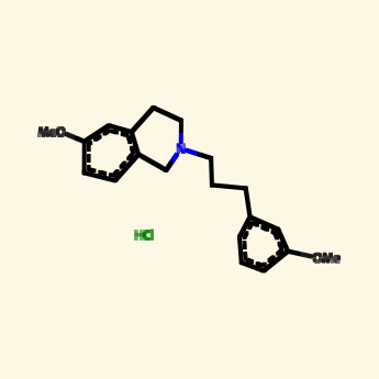 COc1cccc(CCCN2CCc3cc(OC)ccc3C2)c1.Cl